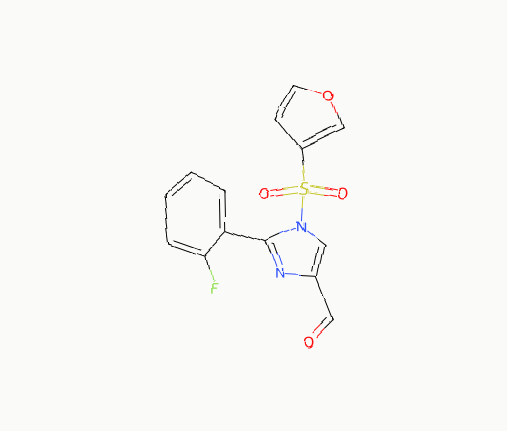 O=Cc1cn(S(=O)(=O)c2ccoc2)c(-c2ccccc2F)n1